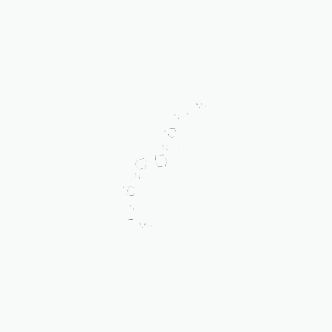 COC(=O)CN1CCc2nc(C(=O)N3CCc4c(-c5cccc6c5CCN6C(=O)c5nc6c(s5)CN(CC(=O)OC)CC6)cccc43)sc2C1